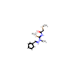 CSCC(=O)N=C(SC)N(C)N=Cc1ccccc1